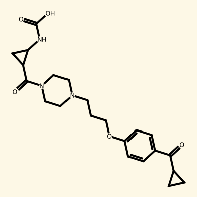 O=C(O)NC1CC1C(=O)N1CCN(CCCOc2ccc(C(=O)C3CC3)cc2)CC1